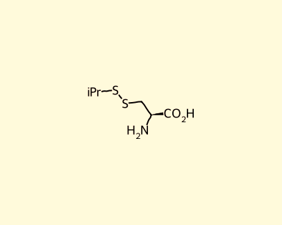 CC(C)SSC[C@H](N)C(=O)O